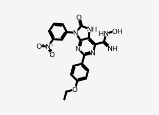 CCOc1ccc(-c2nc(C(=N)NO)c3[nH]c(=O)n(-c4cccc([N+](=O)[O-])c4)c3n2)cc1